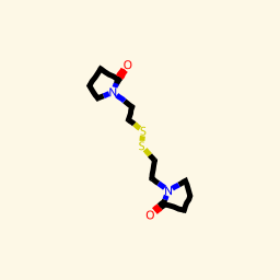 O=C1CCCN1CCSSCCN1CCCC1=O